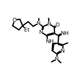 CCC1(CCN(C)c2nc(N)c(C(=N)c3ccc(N(C)C)nc3C)c(=O)n2C)CCOC1